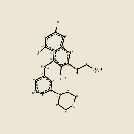 Cc1c(NCC(=O)O)nc2cc(F)cc(F)c2c1Nc1cncc(N2CCOCC2)c1